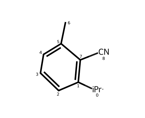 C[C](C)c1cccc(C)c1C#N